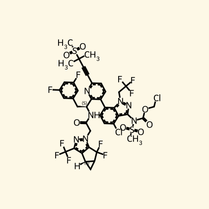 CC(C)(C#Cc1ccc(-c2ccc(Cl)c3c(N(C(=O)OCCl)S(C)(=O)=O)nn(CC(F)(F)F)c23)c([C@H](Cc2cc(F)cc(F)c2)NC(=O)Cn2nc(C(F)(F)F)c3c2C(F)(F)C2C[C@H]32)n1)S(C)(=O)=O